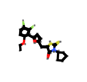 CCOc1ccc(F)c(F)c1-c1ccc(/C=C2\SC(=S)N(C3CCCC3)C2=O)o1